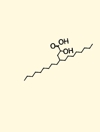 CCCCCCCCCC(CCCCCCCC)CC(O)C(=O)O